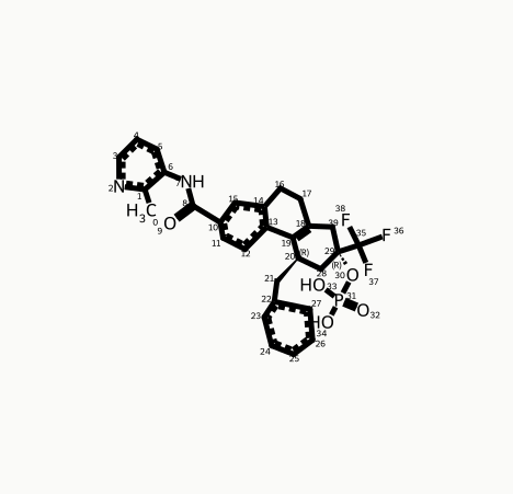 Cc1ncccc1NC(=O)c1ccc2c(c1)CCC1=C2[C@H](Cc2ccccc2)C[C@](OP(=O)(O)O)(C(F)(F)F)C1